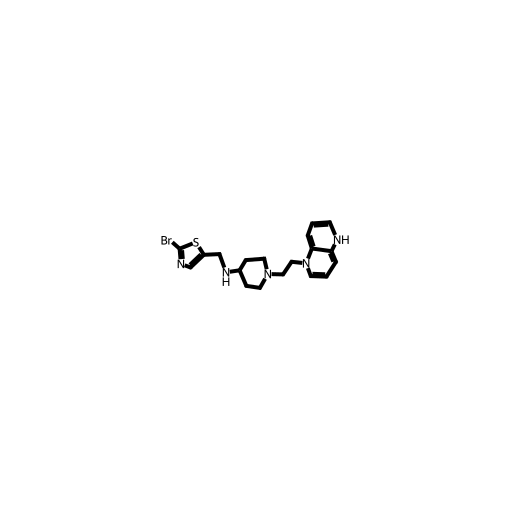 Brc1ncc(CNC2CCN(CCN3C=CC=C4NC=CC=C43)CC2)s1